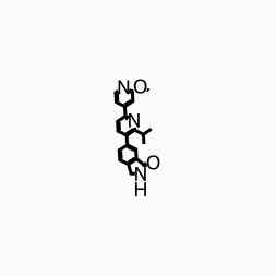 COc1cc(-c2ccc(-c3ccc4c(c3)C(=O)NC4)c(C(C)C)n2)ccn1